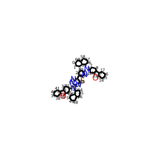 c1ccc2c(N(c3ccc4c(c3)oc3ccccc34)c3ccc4c(n3)sc3nc(N(c5ccc6c(c5)oc5ccccc56)c5cccc6ccccc56)nnc34)cccc2c1